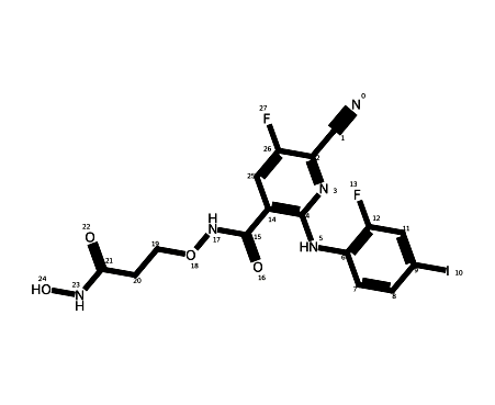 N#Cc1nc(Nc2ccc(I)cc2F)c(C(=O)NOCCC(=O)NO)cc1F